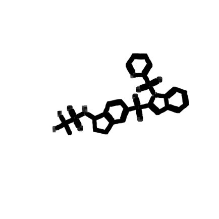 CC(F)(F)S(=O)(=O)NC1CCc2cc(S(=O)(=O)c3cc4ccccc4n3S(=O)(=O)c3ccccn3)ccc21